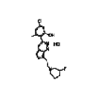 Cc1cc(Cl)cc(O)c1-c1cc2ccn(CCN3CCCC(F)C3)c2nn1.Cl